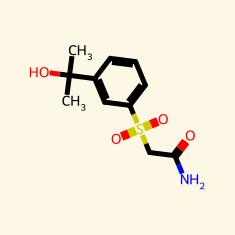 CC(C)(O)c1cccc(S(=O)(=O)CC(N)=O)c1